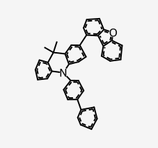 CC1(C)c2ccccc2N(c2ccc(-c3ccccc3)cc2)c2ccc(-c3cccc4oc5ccccc5c34)cc21